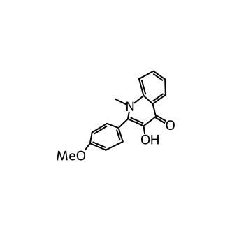 COc1ccc(-c2c(O)c(=O)c3ccccc3n2C)cc1